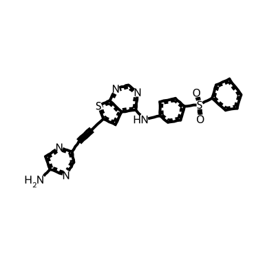 Nc1cnc(C#Cc2cc3c(Nc4ccc(S(=O)(=O)c5ccccc5)cc4)ncnc3s2)cn1